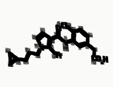 CC(C)c1c(C(=O)Nc2cc(CC(=O)O)ccc2Cl)ccn1CCCC1CC1